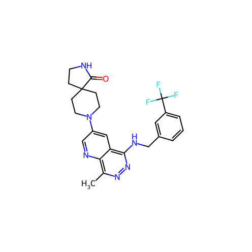 Cc1nnc(NCc2cccc(C(F)(F)F)c2)c2cc(N3CCC4(CCNC4=O)CC3)cnc12